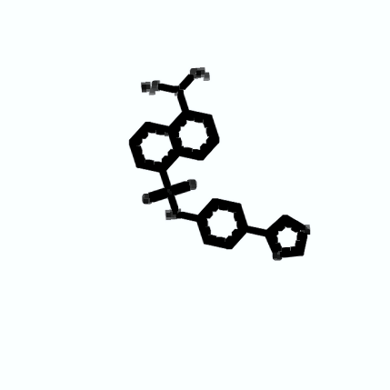 CN(C)c1cccc2c(S(=O)(=O)Nc3ccc(-c4cnco4)cc3)cccc12